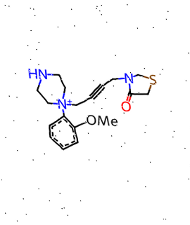 COc1ccccc1[N+]1(CC#CCN2CSCC2=O)CCNCC1